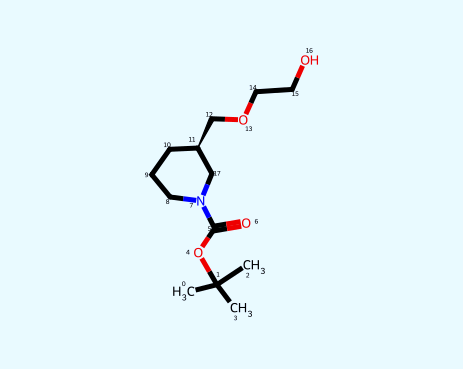 CC(C)(C)OC(=O)N1CCC[C@@H](COCCO)C1